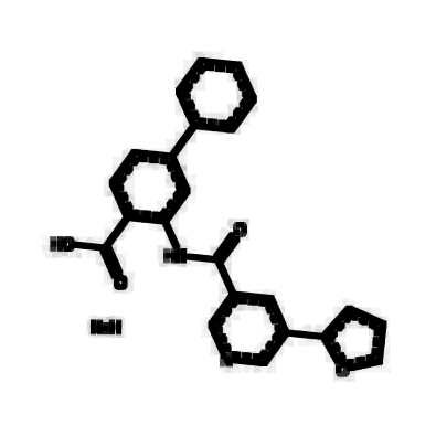 O=C(Nc1cc(-c2ccccc2)ccc1C(=O)O)c1cncc(-c2ccco2)c1.[NaH]